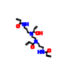 C=CC(=O)NCCCN(CCN(CCCNC(=O)C=C)C(O)C=C)C(=O)C=C